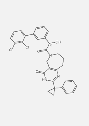 O=C([C@H](O)c1cccc(-c2cccc(Cl)c2Cl)c1)N1CCCc2nc(C3(c4ccccc4)CC3)[nH]c(=O)c2C1